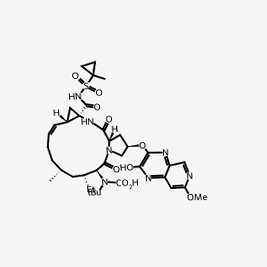 CC[C@@H]1C[C@H](C)CC/C=C\[C@@H]2C[C@@]2(C(=O)NS(=O)(=O)C2(C)CC2)NC(=O)[C@@H]2C[C@@H](Oc3nc4cnc(OC)cc4nc3O)CN2C(=O)[C@H]1N(C(=O)O)C(C)(C)C